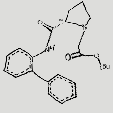 CC(C)(C)OC(=O)N1CCC[C@H]1C(=O)Nc1ccccc1-c1ccccc1